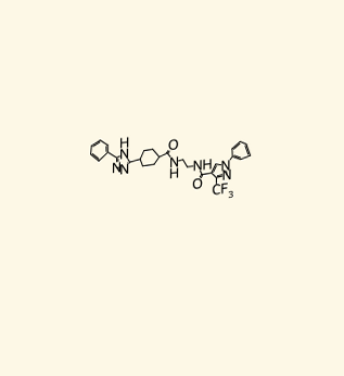 O=C(NCCNC(=O)C1CCC(c2nnc(-c3ccccc3)[nH]2)CC1)c1cn(-c2ccccc2)nc1C(F)(F)F